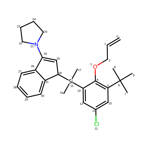 C=CCOc1c(C(C)(C)C)cc(Cl)cc1[Si](C)(C)C1C=C(N2CCCC2)c2ccccc21